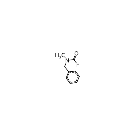 CN(Cc1ccccc1)C(=O)F